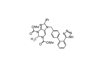 COC(=O)N1C=C2C(=NC(C(C)C)N2Cc2ccc(-c3ccccc3-c3nnn[nH]3)cc2)N(C(=O)OC)C1C